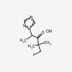 CC(C(=O)C(C)(C)CF)n1cncn1.Cl